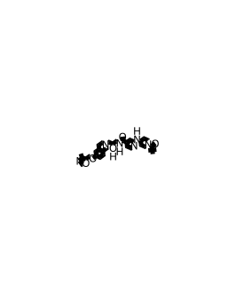 Cc1ncoc1COc1ccc2c(c1)CCN(CC(O)CNC(=O)c1ccnc(NC3CCN(C(=O)C(C)(C)C)CC3)c1)C2